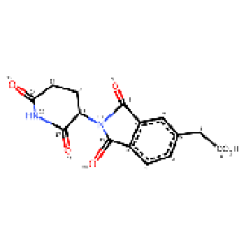 O=C(O)Cc1ccc2c(c1)C(=O)N(C1CCC(=O)NC1=O)C2=O